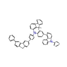 CC1(C)c2ccccc2-c2cccc(N(c3ccc(-c4ccc5c(c4)-c4cc(-c6ccccc6)ccc4C5)cc3)c3ccc(-c4cccc5c4c4ccccc4n5-c4ccccc4)cc3)c21